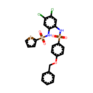 O=S(=O)(Nc1cc(Cl)c(Cl)cc1NS(=O)(=O)c1cccs1)c1ccc(OCc2ccccc2)cc1